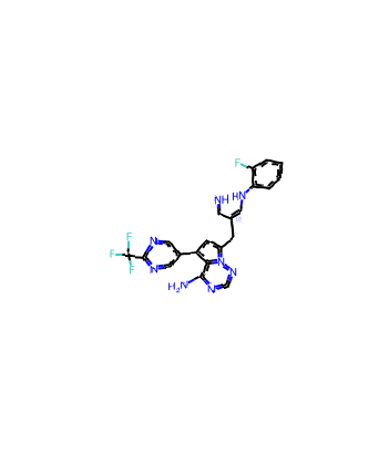 N=C/C(=C\Nc1ccccc1F)Cc1cc(-c2cnc(C(F)(F)F)nc2)c2c(N)ncnn12